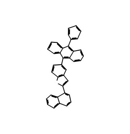 c1ccc(-c2c3ccccc3c(-c3ccc4oc(-c5cccc6ccccc56)cc4c3)c3ccccc23)cc1